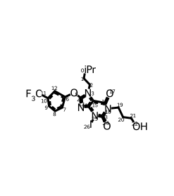 CC(C)CCn1c(Oc2cccc(C(F)(F)F)c2)nc2c1c(=O)n(CCCO)c(=O)n2I